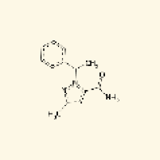 Cc1cc(C(N)=O)n(C(C)c2ccccc2)n1